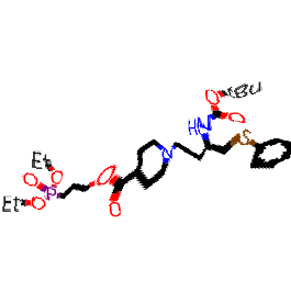 CCOP(=O)(CCCOC(=O)C1CCN(CC[C@H](CSc2ccccc2)NC(=O)OC(C)(C)C)CC1)OCC